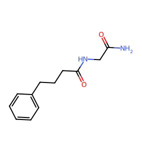 NC(=O)CNC(=O)CCCc1ccccc1